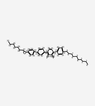 CCCCCCCCCCc1ccc(-c2ccc(-c3ccc(-c4ccc(OCCCCCCC)cc4)cc3)c(F)c2F)cc1